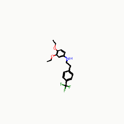 CCOc1ccc(NCCc2ccc(C(F)(F)F)cc2)cc1OCC